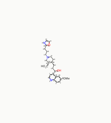 COc1ccc2nccc(C(O)CC[C@@H]3CCN(CCCc4ncco4)C[C@@H]3C(=O)O)c2c1